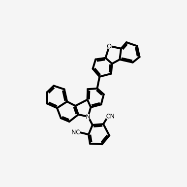 N#Cc1cccc(C#N)c1-n1c2ccc(-c3ccc4oc5ccccc5c4c3)cc2c2c3ccccc3ccc21